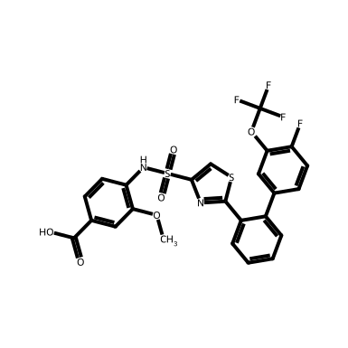 COc1cc(C(=O)O)ccc1NS(=O)(=O)c1csc(-c2ccccc2-c2ccc(F)c(OC(F)(F)F)c2)n1